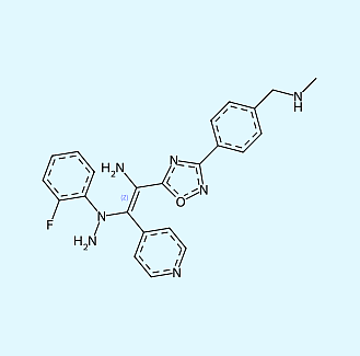 CNCc1ccc(-c2noc(/C(N)=C(\c3ccncc3)N(N)c3ccccc3F)n2)cc1